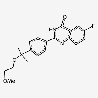 COCCOC(C)(C)c1ccc(-c2nc3ccc(F)cc3c(=O)[nH]2)cc1